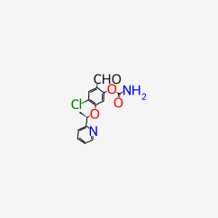 C[C@@H](Oc1cc(OC(N)=O)c(C=O)cc1Cl)c1ccccn1